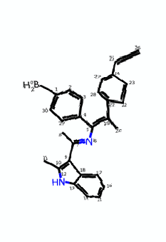 Bc1ccc(/C(N=C(C)c2c(C)[nH]c3ccccc23)=C(/C)c2ccc(C=C)cc2)cc1